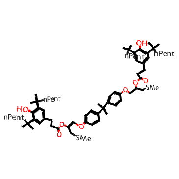 CCCCCC(C)(C)c1cc(CCC(=O)OC(COc2ccc(C(C)(C)c3ccc(OCC(CSC)OC(=O)CCc4cc(C(C)(C)CCCCC)c(O)c(C(C)(C)CCCCC)c4)cc3)cc2)CSC)cc(C(C)(C)CCCCC)c1O